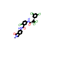 CN1Cc2ccc(NC(=O)c3cc(NC(=O)[C@H]4[C@H](c5cc(Cl)cc(Cl)c5)C4(Cl)Cl)ccc3Cl)cc2C1=O